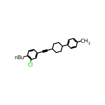 CCCCc1ccc(C#CC2CCC(c3ccc(C)cc3)CC2)cc1Cl